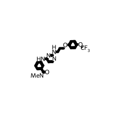 CNC(=O)c1cccc(Nc2ccnc(NCCCOc3ccc(OC(F)(F)F)cc3)n2)c1